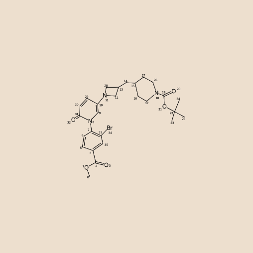 COC(=O)c1ccc(-n2cc(N3CC(CC4CCN(C(=O)OC(C)(C)C)CC4)C3)ccc2=O)c(Br)c1